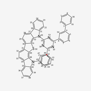 c1ccc(-c2cccc(-c3nc(-c4ccccc4)nc(-n4c5ccccc5c5ccc6c7ccc8c9ccccc9n(-c9ccccc9)c8c7sc6c54)n3)c2)cc1